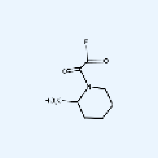 CCC(=O)C(=O)N1CCCCC1C(=O)O